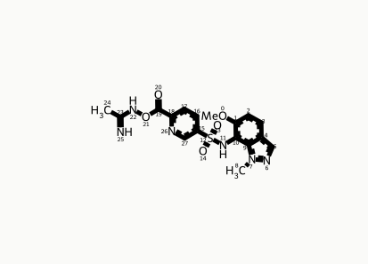 COc1ccc2cnn(C)c2c1NS(=O)(=O)c1ccc(C(=O)ONC(C)=N)nc1